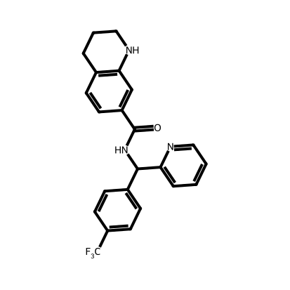 O=C(NC(c1ccc(C(F)(F)F)cc1)c1ccccn1)c1ccc2c(c1)NCCC2